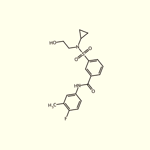 Cc1cc(NC(=O)c2cccc(S(=O)(=O)N(CCO)C3CC3)c2)ccc1F